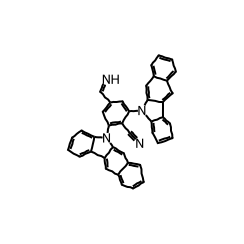 N#Cc1c(-n2c3ccccc3c3cc4ccccc4cc32)cc(C=N)cc1-n1c2ccccc2c2cc3ccccc3cc21